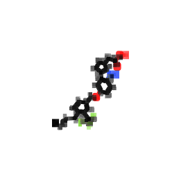 CCCc1ccc(COc2ccc3[nH]c4c(c3c2)CCC4CC(=O)O)cc1C(F)(F)F